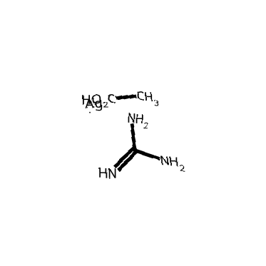 CC(=O)O.N=C(N)N.[Ag]